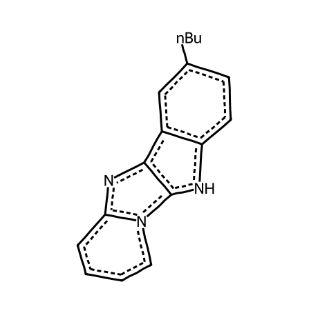 CCCCc1ccc2[nH]c3c(nc4ccccn43)c2c1